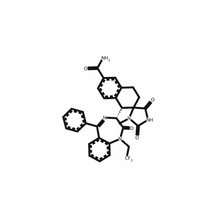 CN1C(=O)NC(=O)C12CCc1cc(C(N)=O)ccc1C2[C@H]1N=C(c2ccccc2)c2ccccc2N(CC(F)(F)F)C1=O